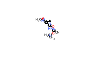 Cc1nc(-c2ccc(-c3ccc(C(=O)Nc4cc(OCCN(C)C)c(C#N)cn4)cn3)c(C3CC3)c2)no1